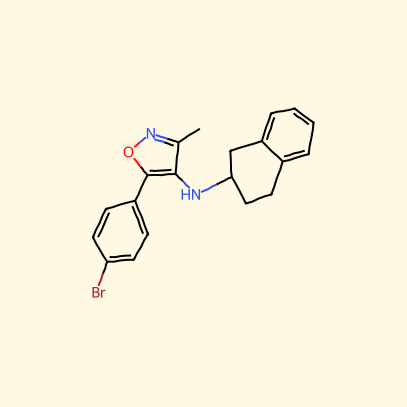 Cc1noc(-c2ccc(Br)cc2)c1NC1CCc2ccccc2C1